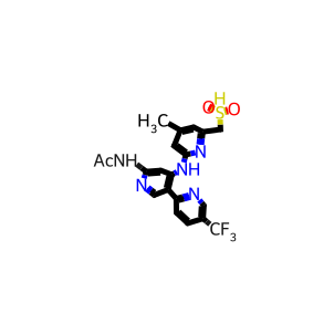 CC(=O)Nc1cc(Nc2cc(C)cc(C[SH](=O)=O)n2)c(-c2ccc(C(F)(F)F)cn2)cn1